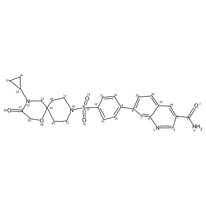 NC(=O)c1cnc2cc(-c3ccc(S(=O)(=O)N4CCC5(CC4)CN(C4CC4)C(=O)CO5)cc3)ccc2c1